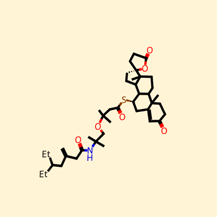 C=C(CC(=O)NC(C)(C)COC(C)(C)CC(=O)S[C@@H]1CC2=CC(=O)CCC2(C)C2CCC3(C)C(CC[C@@]34CCC(=O)O4)C21)CC(CC)CC